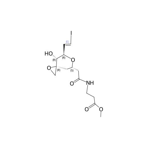 COC(=O)CCNC(=O)C[C@@H]1C[C@@]2(CO2)[C@H](O)[C@@H](/C=C/I)O1